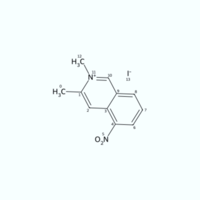 Cc1cc2c([N+](=O)[O-])cccc2c[n+]1C.[I-]